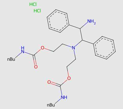 CCCCNC(=O)OCCN(CCOC(=O)NCCCC)C(c1ccccc1)C(N)c1ccccc1.Cl.Cl